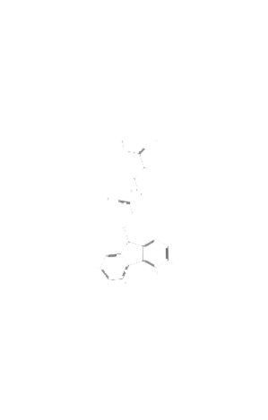 CC(C)(C)OC(=O)CCNC(=O)OCC1c2ccccc2-c2ccccc21